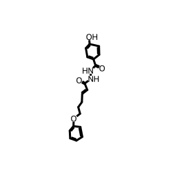 O=C(/C=C/CCCOc1ccccc1)NNC(=O)c1ccc(O)cc1